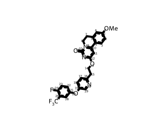 COc1ccc2c(c1)CCn1c-2cc(OCCc2ccc(Oc3ccc(F)c(C(F)(F)F)c3)cn2)nc1=O